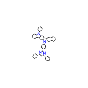 c1ccc(-c2cc(-c3ccccc3)nc(-c3ccc(-n4c5cc6ccccc6cc5c5cc6c(cc54)c4ccccc4n6-c4ccccc4)cc3)n2)cc1